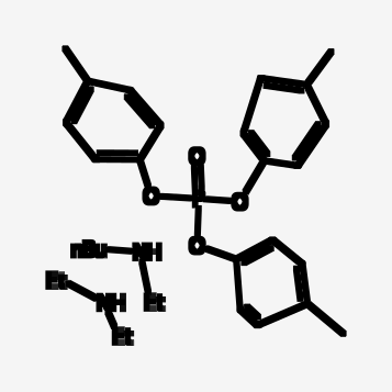 CCCCNCC.CCNCC.Cc1ccc(OP(=O)(Oc2ccc(C)cc2)Oc2ccc(C)cc2)cc1